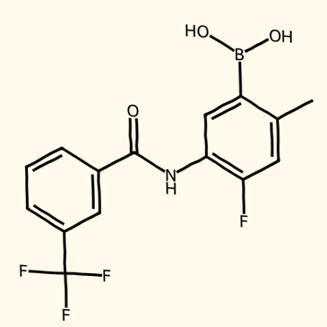 Cc1cc(F)c(NC(=O)c2cccc(C(F)(F)F)c2)cc1B(O)O